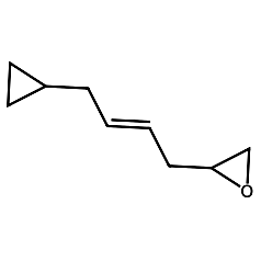 C(=C\CC1CO1)/CC1CC1